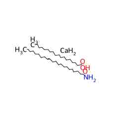 CCCCCCCCC=CCCCCCCCCCCCC(N)=O.CCCCCCCCCCCCCCCCCC(=O)O.[CaH2]